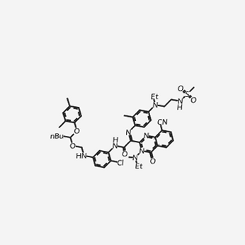 CCCCC(OCNc1ccc(Cl)c(NC(=O)/C(=N/c2ccc(N(CC)CCNS(C)(=O)=O)cc2C)c2nc3c(C#N)cccc3c(=O)n2N(C)CC)c1)Oc1ccc(C)cc1C